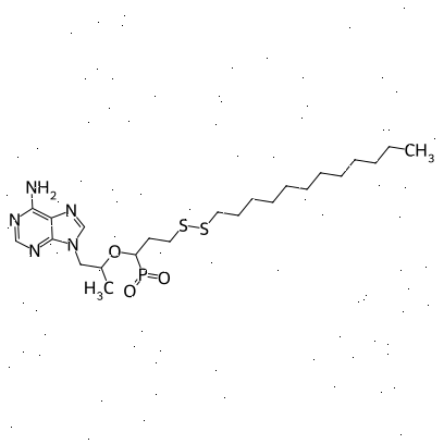 CCCCCCCCCCCCSSCCC(OC(C)Cn1cnc2c(N)ncnc21)P(=O)=O